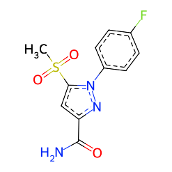 CS(=O)(=O)c1cc(C(N)=O)nn1-c1ccc(F)cc1